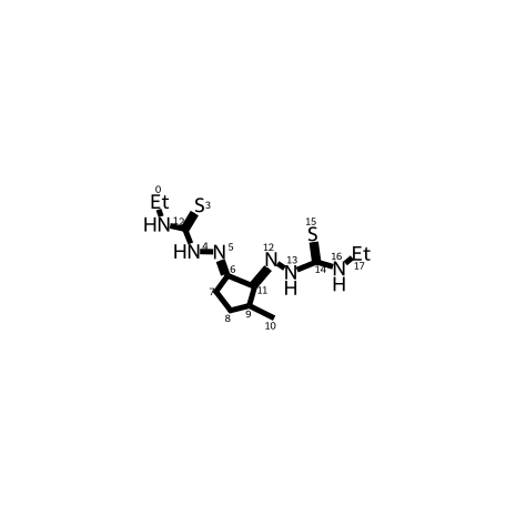 CCNC(=S)N/N=C1\CCC(C)\C1=N/NC(=S)NCC